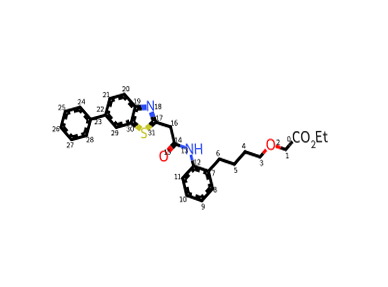 CCOC(=O)COCCCCc1ccccc1NC(=O)Cc1nc2ccc(-c3ccccc3)cc2s1